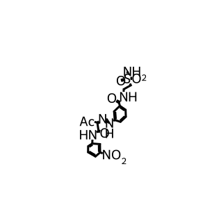 CC(=O)/C(=N/Nc1cccc(C(=O)NCCS(N)(=O)=O)c1)C(=O)Nc1cccc([N+](=O)[O-])c1